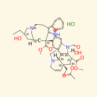 CC[C@]1(O)C[C@H]2C[N@](CCc3c([nH]c4ccccc34)[C@@](C(=O)OC)(c3cc4c(cc3OC)N(C=O)[C@H]3[C@@](O)(C(=O)OC)[C@H](OC(C)=O)[C@]5(CC)C=CCN6CC[C@]43[C@@H]65)C2)C1.Cl